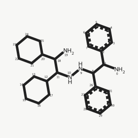 NC(c1ccccc1)C(NNC(C1CCCCC1)C(N)C1CCCCC1)c1ccccc1